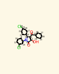 O=C(C1=C(O)C(=O)N(c2cccc(Cl)c2)C1c1ccc(Cl)cc1)c1ccccc1